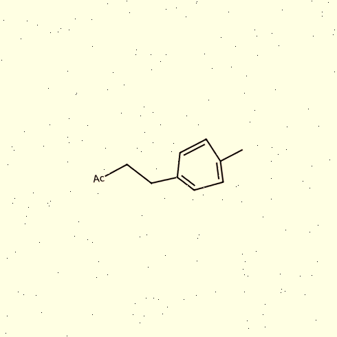 CC(=O)CCc1ccc(C)cc1